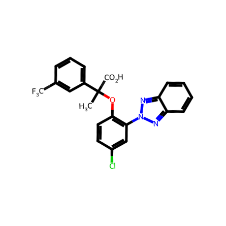 CC(Oc1ccc(Cl)cc1-n1nc2ccccc2n1)(C(=O)O)c1cccc(C(F)(F)F)c1